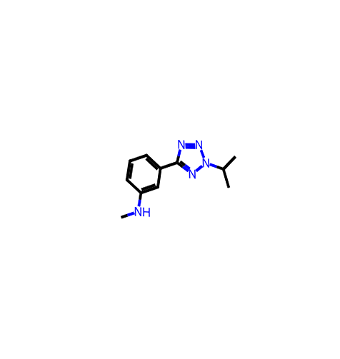 CNc1cccc(-c2nnn(C(C)C)n2)c1